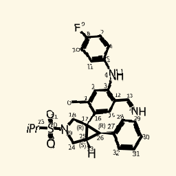 Cc1cc(Nc2ccc(F)cc2)c(C=N)cc1[C@]12CN(S(=O)(=O)C(C)C)C[C@H]1[C@@H]2c1ccccc1